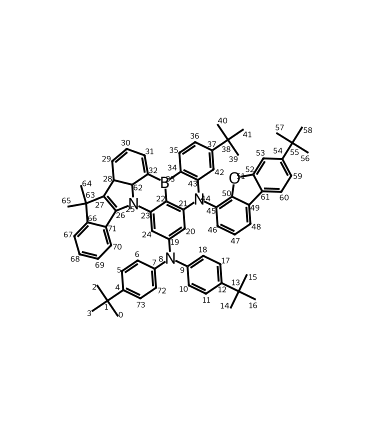 CC(C)(C)c1ccc(N(c2ccc(C(C)(C)C)cc2)c2cc3c4c(c2)N2C5=C(C6C=CC=C(B4c4ccc(C(C)(C)C)cc4N3c3cccc4c3oc3cc(C(C)(C)C)ccc34)C62)C(C)(C)c2ccccc25)cc1